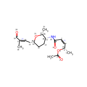 CC(=O)O[C@@H](C)/C=C\C(=O)N[C@@H]1CC[C@H](C/C=C(\C)C=O)O[C@@H]1C